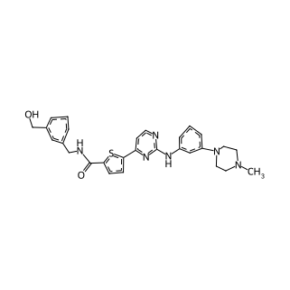 CN1CCN(c2cccc(Nc3nccc(-c4ccc(C(=O)NCc5cccc(CO)c5)s4)n3)c2)CC1